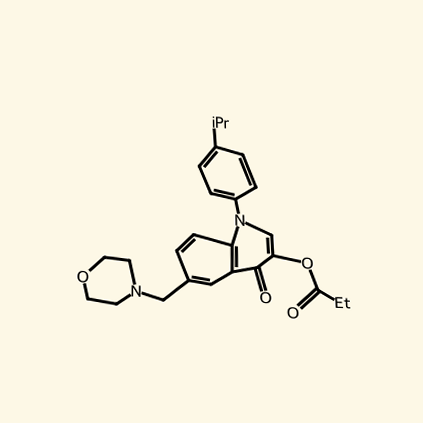 CCC(=O)Oc1cn(-c2ccc(C(C)C)cc2)c2ccc(CN3CCOCC3)cc2c1=O